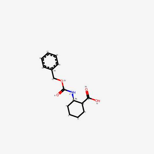 O=C(N[C@@H]1CCCCC1C(=O)O)OCc1ccccc1